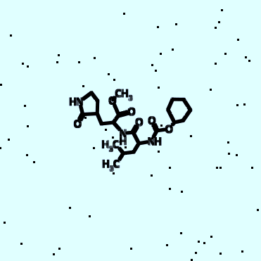 COC(=O)C(CC1CCNC1=O)NC(=O)C(CC(C)C)NC(=O)OC1CCCCC1